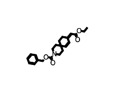 CCOC(=O)C=C1C=CC2(CC1)CCN(C(=O)OCc1ccccc1)CC2